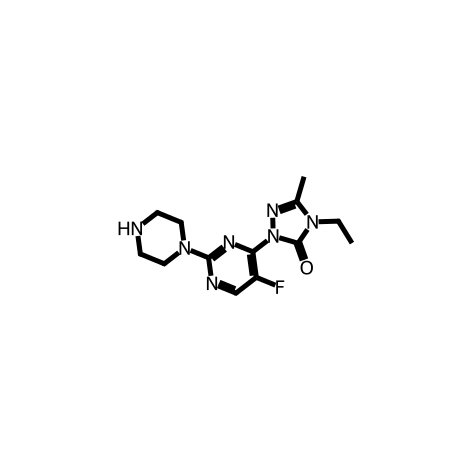 CCn1c(C)nn(-c2nc(N3CCNCC3)ncc2F)c1=O